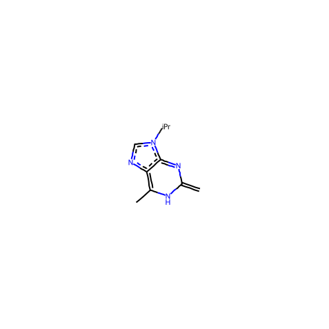 C=C1N=c2c(ncn2C(C)C)=C(C)N1